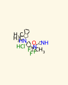 CN(C(=O)C1CNC1)[C@@H](c1ccc(NC2Cc3ccccc3C2(C)C)cc1)C(F)(F)F.Cl